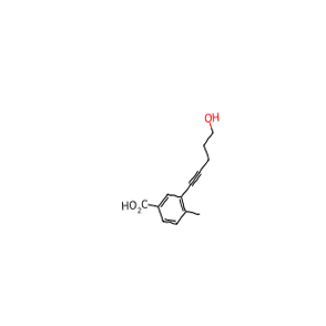 Cc1ccc(C(=O)O)cc1C#CCCCO